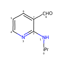 CC(C)Nc1ncccc1C=O